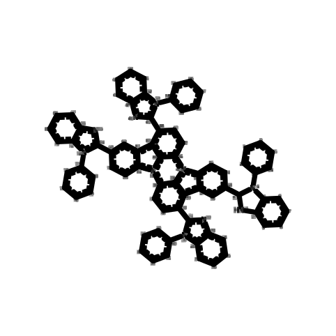 c1ccc(N2c3ccccc3NC2c2ccc3c(c2)c2c(-c4nc5ccccc5n4-c4ccccc4)ccc4c2n3c2ccc(-c3nc5ccccc5n3-c3ccccc3)c3c5cc(-c6nc7ccccc7n6-c6ccccc6)ccc5n4c32)cc1